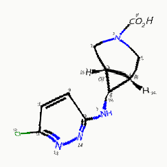 O=C(O)N1C[C@@H]2[C@H](C1)[C@H]2Nc1ccc(Cl)nn1